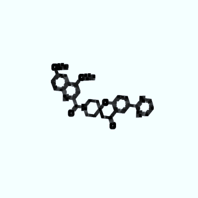 COc1ccc2nc(C(=O)N3CCC4(CC3)CC(=O)c3cc(-c5ncccn5)ccc3O4)cc(OC)c2c1